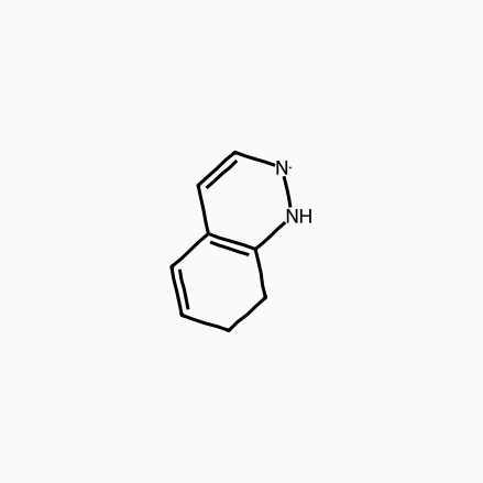 C1=CC2=C(CC1)N[N]C=C2